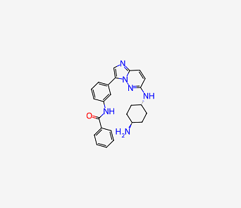 N[C@H]1CC[C@H](Nc2ccc3ncc(-c4cccc(NC(=O)c5ccccc5)c4)n3n2)CC1